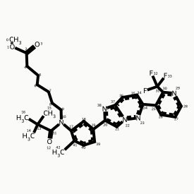 COC(=O)CCCCCCN(C(=O)C(C)(C)C)c1cc(-c2cn3nc(-c4cccnc4C(F)(F)F)ccc3n2)ccc1C